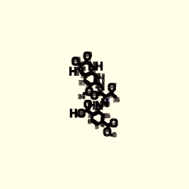 COC(=O)c1ccc(C(=O)O)c(N/N=C(/C(C)=O)C(=O)Nc2cc3[nH]c(=O)c(=O)[nH]c3cc2OC)c1